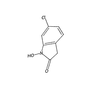 O=C1Cc2ccc(Cl)cc2N1O